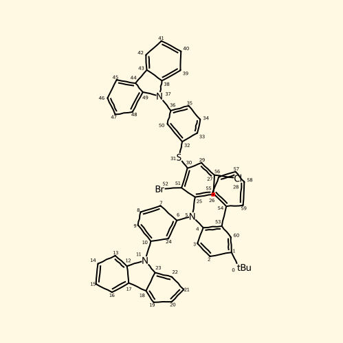 CC(C)(C)c1ccc(N(c2cccc(-n3c4ccccc4c4ccccc43)c2)c2cc(Cl)cc(Sc3cccc(-n4c5ccccc5c5ccccc54)c3)c2Br)c(-c2ccccc2)c1